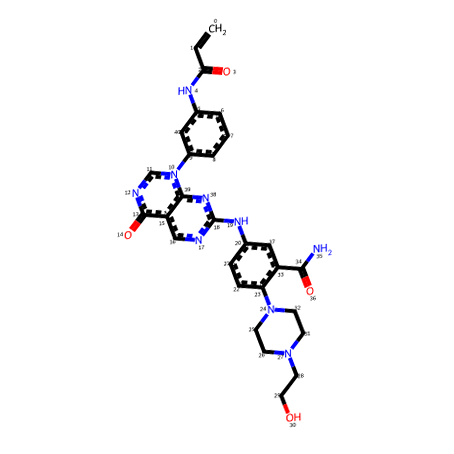 C=CC(=O)Nc1cccc(-n2cnc(=O)c3cnc(Nc4ccc(N5CCN(CCO)CC5)c(C(N)=O)c4)nc32)c1